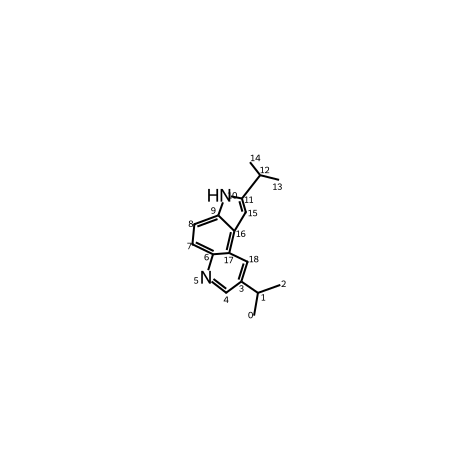 CC(C)c1cnc2ccc3[nH]c(C(C)C)cc3c2c1